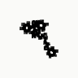 CN(CCCOc1ccccc1)Cc1ncc(C(O)(c2ccccc2)c2ccccc2)o1